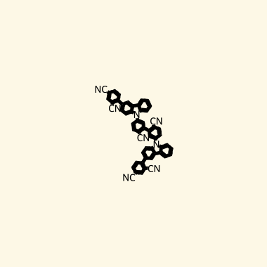 N#Cc1ccc(-c2ccc3c(c2)c2ccccc2n3-c2ccc(C#N)c(-c3cc(-n4c5ccccc5c5cc(-c6ccc(C#N)cc6C#N)ccc54)ccc3C#N)c2)c(C#N)c1